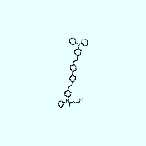 CC/C=C\C=C(/C)N(c1ccccc1)c1ccc(CCc2ccc(-c3ccc(/C=C/c4ccc(N(C5=CC=CCC5)c5ccccc5)cc4)cc3)cc2)cc1